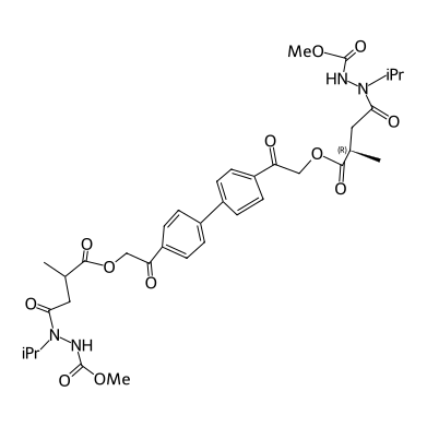 COC(=O)NN(C(=O)CC(C)C(=O)OCC(=O)c1ccc(-c2ccc(C(=O)COC(=O)[C@H](C)CC(=O)N(NC(=O)OC)C(C)C)cc2)cc1)C(C)C